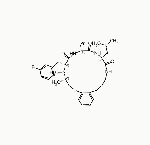 CC(C)[C@H]1NC(=O)[C@@H](Cc2cccc(F)c2)N(C)[C@@H](C)COc2ccccc2CCCNC(=O)[C@H](CN(C)C)NC1=O